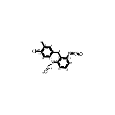 Cc1cc(Cc2c(N=C=O)cccc2N=C=O)ccc1Cl